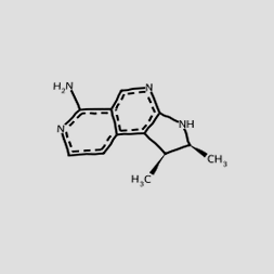 C[C@@H]1Nc2ncc3c(N)nccc3c2[C@@H]1C